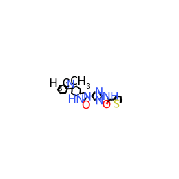 CN(C)[C@]1(c2ccccc2)CC[C@@]2(CC1)CN(c1cnc(NC(=O)c3cccs3)nc1)C(=O)N2